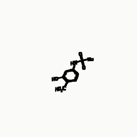 CC(C)(C)S(=O)(=O)Nc1ccc(C(=O)O)c(O)c1